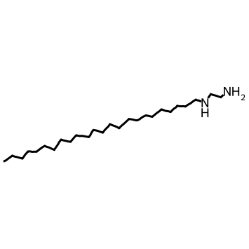 CCCCCCCCCCCCCCCCCCCCCCCCNCCN